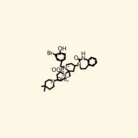 CC1(C)CCN(C2CCN(C3(CC=O)CC(N4CCc5ccccc5NC4=O)CC[N@+]3(Cc3ccc(O)c(Br)c3)C(=O)[O-])CC2)CC1